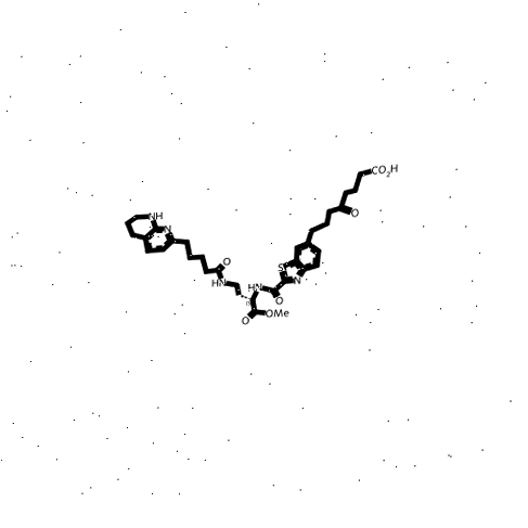 COC(=O)[C@H](CCNC(=O)CCCCc1ccc2c(n1)NCCC2)NC(=O)c1nc2ccc(CCCC(=O)CCCC(=O)O)cc2s1